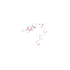 CC(=O)O[C@H]1C[C@H](O[C@H]2[C@@H](O)C[C@H](O[C@H]3[C@@H](O)C[C@H](O[C@H]4CC[C@@]5(C)[C@H](CC[C@@H]6[C@@H]5C[C@@H](O)[C@]5(C)[C@@H](C7=CC(=O)OC7)CC[C@]65O)C4)O[C@@H]3C)O[C@@H]2C)O[C@H](C)[C@H]1O[C@@H]1O[C@H](CO)[C@@H](O)[C@H](O)[C@H]1O